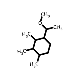 COC(C)C1CCC(C)C(C)C1C